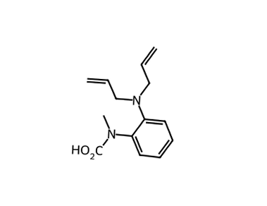 C=CCN(CC=C)c1ccccc1N(C)C(=O)O